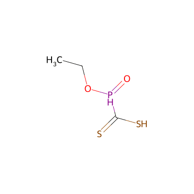 CCO[PH](=O)C(=S)S